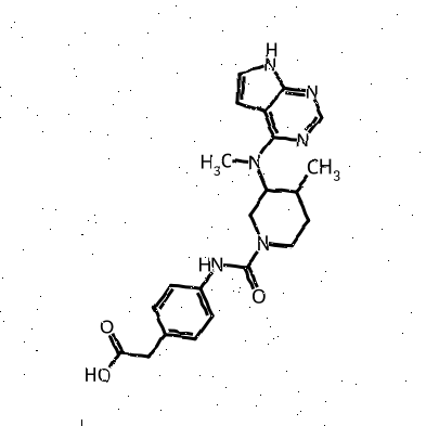 CC1CCN(C(=O)Nc2ccc(CC(=O)O)cc2)CC1N(C)c1ncnc2[nH]ccc12